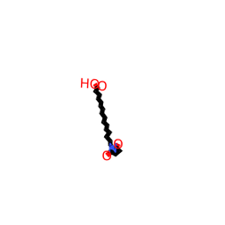 O=C(O)CCCCCCCCCCCCCCCN1C(=O)C=CC1=O